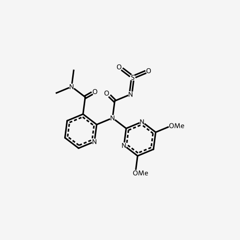 COc1cc(OC)nc(N(C(=O)N=S(=O)=O)c2ncccc2C(=O)N(C)C)n1